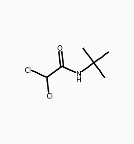 [CH2]C(C)(C)NC(=O)C(Cl)Cl